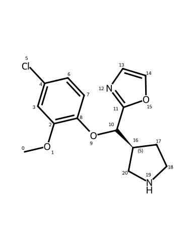 COc1cc(Cl)ccc1OC(c1ncco1)[C@H]1CCNC1